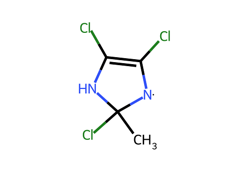 CC1(Cl)[N]C(Cl)=C(Cl)N1